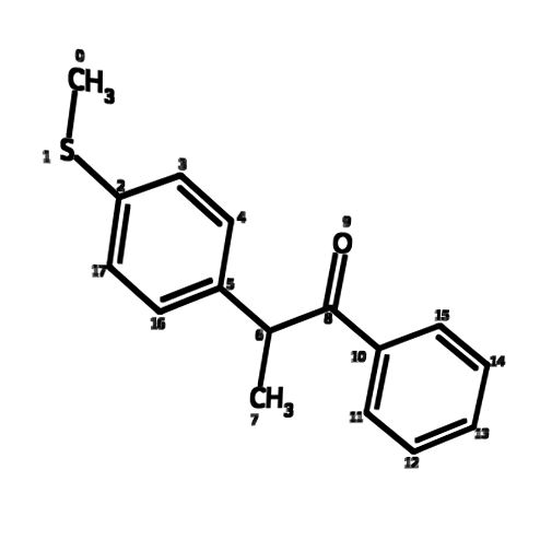 CSc1ccc(C(C)C(=O)c2ccccc2)cc1